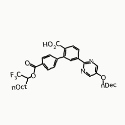 CCCCCCCCCCOc1cnc(-c2ccc(C(=O)O)c(-c3ccc(C(=O)OC(CCCCCCCC)C(F)(F)F)cc3)c2)nc1